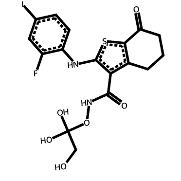 O=C1CCCc2c1sc(Nc1ccc(I)cc1F)c2C(=O)NOC(O)(O)CO